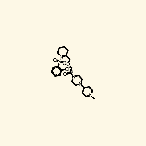 CN1CCC(N2CCN(C(=O)COCC3CCCCN3S(=O)(=O)c3ccccc3C(F)(F)F)CC2)CC1